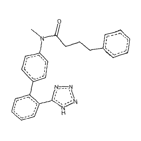 CN(C(=O)CCCc1ccccc1)c1ccc(-c2ccccc2-c2nnn[nH]2)cc1